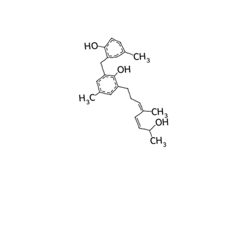 CC(/C=C\C(C)O)=C/CCc1cc(C)cc(Cc2cc(C)ccc2O)c1O